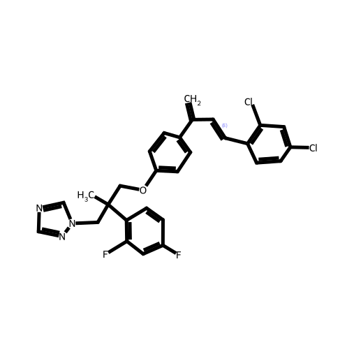 C=C(/C=C/c1ccc(Cl)cc1Cl)c1ccc(OCC(C)(Cn2cncn2)c2ccc(F)cc2F)cc1